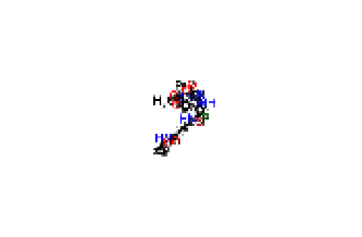 CC(C)OC(=O)c1cnc(Nc2ccc(C(=O)NCCCCCCC(=O)NOCc3ccccc3)c(F)c2)nc1Nc1ccccc1N(C)S(C)(=O)=O